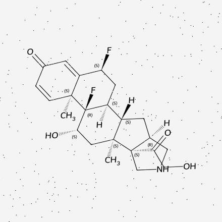 C[C@]12C=CC(=O)C=C1[C@@H](F)C[C@H]1[C@@H]3C[C@H]4CNC[C@@]4(C(=O)CO)[C@@]3(C)C[C@H](O)[C@@]12F